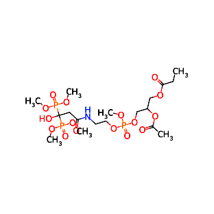 CCC(=O)OCC(COP(=O)(OC)OCCNC(=O)CC(O)(P(=O)(OC)OC)P(=O)(OC)OC)OC(C)=O